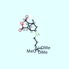 CO[Si](CCCSC1CC2(C)CC1C1C(=O)OC(=O)C12)(OC)OC